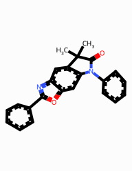 CC1(C)C(=O)N(c2ccccc2)c2cc3oc(-c4ccccc4)nc3cc21